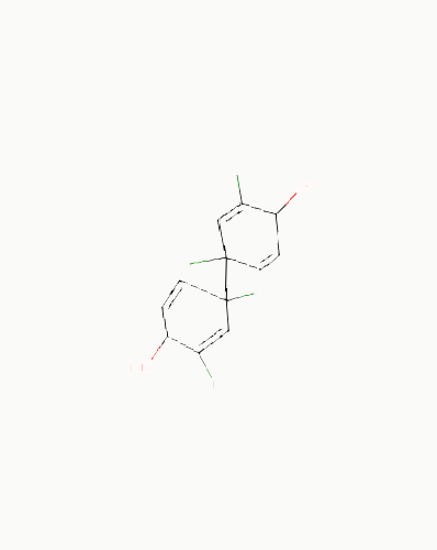 OC1C=CC(F)(C2(F)C=CC(O)C(F)=C2)C=C1F